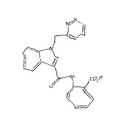 O=C(O)c1ccccc1NC(=O)c1cn(Cc2cccnn2)c2ccccc12